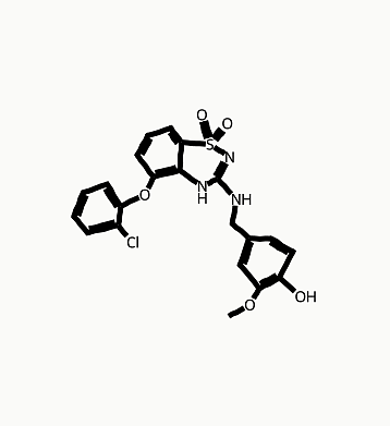 COc1cc(CNC2=NS(=O)(=O)c3cccc(Oc4ccccc4Cl)c3N2)ccc1O